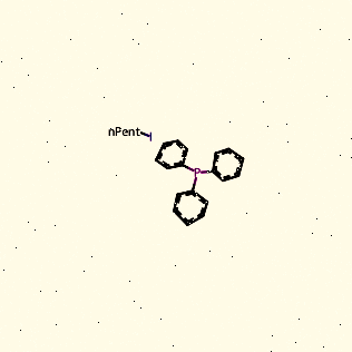 CCCCCI.c1ccc(P(c2ccccc2)c2ccccc2)cc1